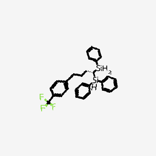 FC(F)(F)c1ccc(CCC[C@H]([SiH2]c2ccccc2)[SiH](c2ccccc2)c2ccccc2)cc1